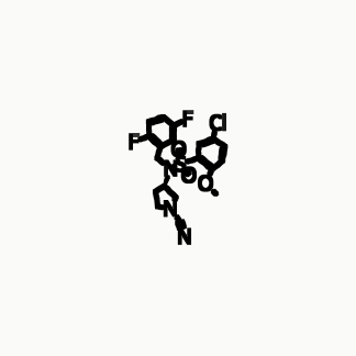 COc1ccc(Cl)cc1S(=O)(=O)N(Cc1cc(F)ccc1F)[C@@H]1CCN(C#N)C1